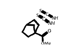 COC(=O)C12CCC(CC1)C2.N=C=S.N=C=S